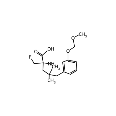 COCOc1cccc(CC(C)(C)CC(N)(CF)C(=O)O)c1